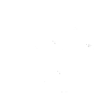 Cc1nc(C(=O)N(Cc2ccccc2)C(Cc2ccccc2)C(N)=O)c(-c2ccccc2)s1